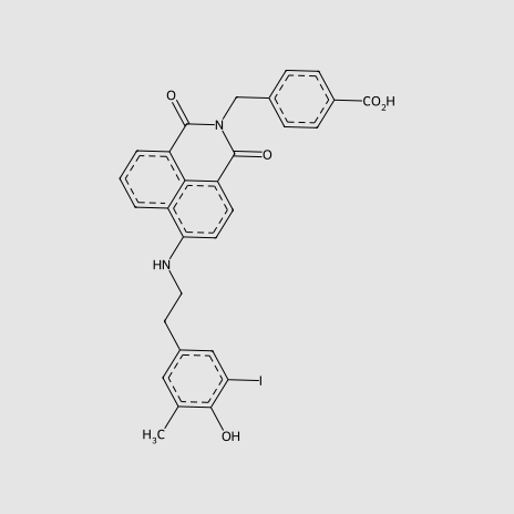 Cc1cc(CCNc2ccc3c4c(cccc24)C(=O)N(Cc2ccc(C(=O)O)cc2)C3=O)cc(I)c1O